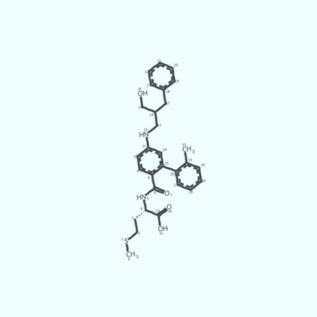 CSCC[C@H](NC(=O)c1ccc(NCC(CO)Cc2ccccc2)cc1-c1ccccc1C)C(=O)O